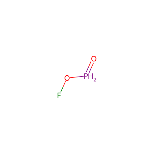 O=[PH2]OF